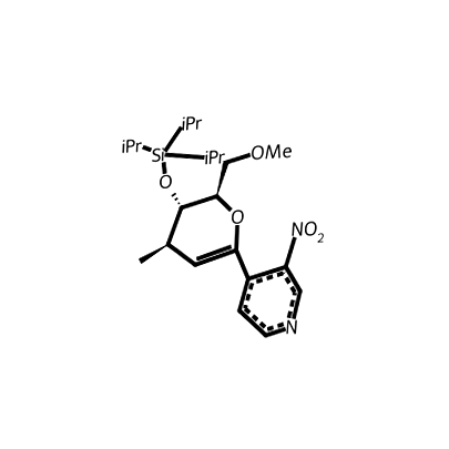 COC[C@H]1OC(c2ccncc2[N+](=O)[O-])=C[C@@H](C)[C@@H]1O[Si](C(C)C)(C(C)C)C(C)C